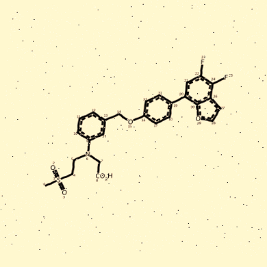 CS(=O)(=O)CCN(CC(=O)O)c1cccc(COc2ccc(-c3cc(F)c(F)c4ccoc34)cc2)c1